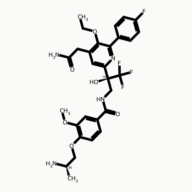 CCOc1c(CC(N)=O)cc([C@@](O)(CNC(=O)c2ccc(OC[C@@H](C)N)c(OC)c2)C(F)(F)F)nc1-c1ccc(F)cc1